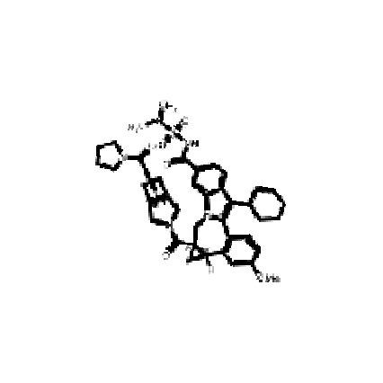 COc1ccc2c(c1)[C@@H]1C[C@]1(C(=O)N1CC34CCC3(CN(C(=O)N3CCCC3)C4)C1)Cn1c-2c(C2CCCCC2)c2ccc(C(=O)NS(=O)(=O)N(C)C)cc21